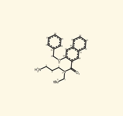 CC(C)(C)CN(CCCN)C(=O)c1cc2ccccc2cc1OCc1ccccc1